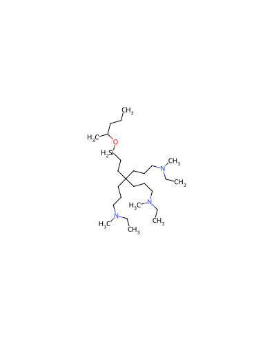 CCCC(C)O[SiH2]CCC(CCCN(C)CC)(CCCN(C)CC)CCCN(C)CC